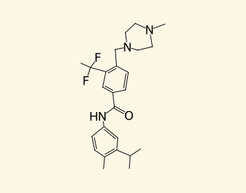 Cc1ccc(NC(=O)c2ccc(CN3CCN(C)CC3)c(C(C)(F)F)c2)cc1C(C)C